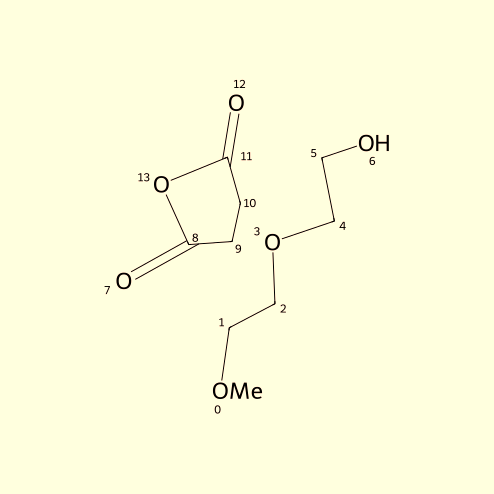 COCCOCCO.O=C1CCC(=O)O1